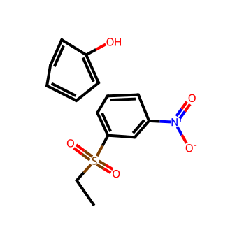 CCS(=O)(=O)c1cccc([N+](=O)[O-])c1.Oc1ccccc1